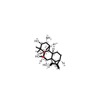 C=C1C(=O)[C@]23[C@@H](O)[C@H]1CC[C@H]2[C@@]1(C)[C@@H]2[C@H](O)[C@@]3(O)OO[C@H]1[C@@H](N)[C@H](O)C2(C)C